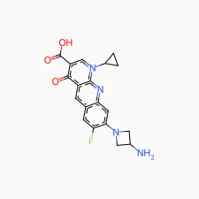 NC1CN(c2cc3nc4c(cc3cc2F)c(=O)c(C(=O)O)cn4C2CC2)C1